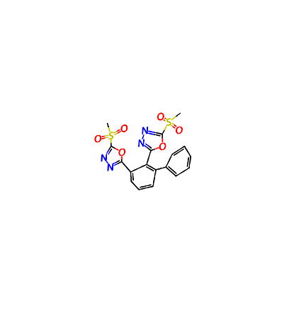 CS(=O)(=O)c1nnc(-c2cccc(-c3ccccc3)c2-c2nnc(S(C)(=O)=O)o2)o1